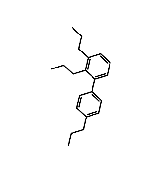 CCCc1ccc(-c2cccc(CCC)c2CCC)cc1